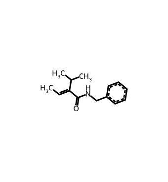 C/C=C(/C(=O)NCc1ccccc1)C(C)C